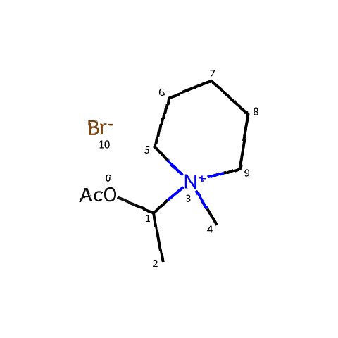 CC(=O)OC(C)[N+]1(C)CCCCC1.[Br-]